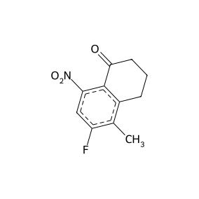 Cc1c(F)cc([N+](=O)[O-])c2c1CCCC2=O